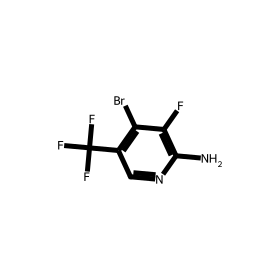 Nc1ncc(C(F)(F)F)c(Br)c1F